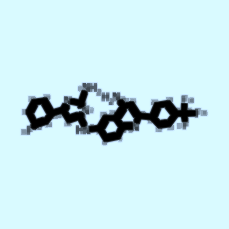 Nc1nc(Nc2ccc3nc(-c4ccc(C(F)(F)F)cc4)cc(N)c3c2)cc(-c2cccc(F)c2)n1